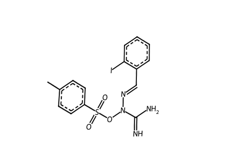 Cc1ccc(S(=O)(=O)ON(N=Cc2ccccc2I)C(=N)N)cc1